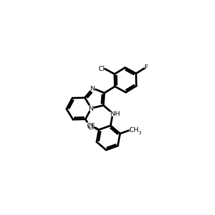 Cc1cccc(Cl)c1Nc1c(-c2ccc(F)cc2Cl)nc2cccc(C(F)(F)F)n12